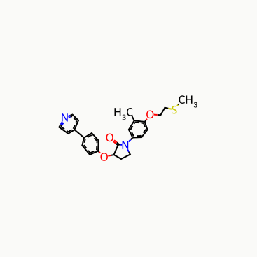 CSCCOc1ccc(N2CCC(Oc3ccc(-c4ccncc4)cc3)C2=O)cc1C